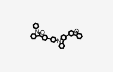 c1ccc(-n2c3ccccc3c3c4ccc(-c5ccc(-n6c7ccccc7c7cc(-c8ccc9oc%10ccccc%10c9c8)ccc76)cc5)cc4oc32)cc1